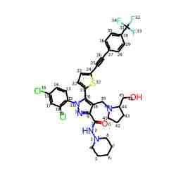 O=C(NN1CCCCC1)c1nn(-c2ccc(Cl)cc2Cl)c(-c2ccc(C#Cc3ccc(C(F)(F)F)cc3)s2)c1CN1CCCC1CO